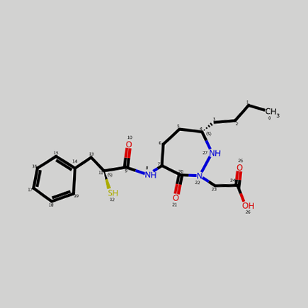 CCCC[C@H]1CCC(NC(=O)[C@@H](S)Cc2ccccc2)C(=O)N(CC(=O)O)N1